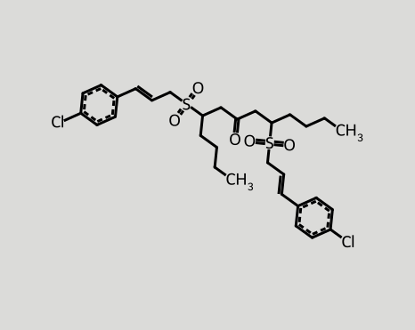 CCCCC(CC(=O)CC(CCCC)S(=O)(=O)CC=Cc1ccc(Cl)cc1)S(=O)(=O)CC=Cc1ccc(Cl)cc1